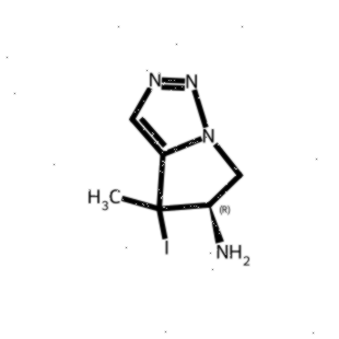 CC1(I)c2cnnn2C[C@H]1N